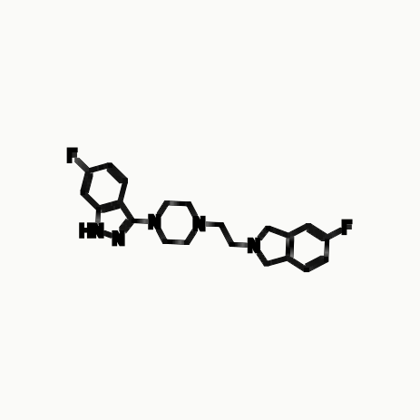 Fc1ccc2c(c1)CN(CCN1CCN(c3n[nH]c4cc(F)ccc34)CC1)C2